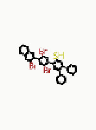 Sc1cc(-c2ccccc2)c(-c2ccccc2)cc1-c1cc(Br)c(-c2cc3ccccc3cc2Br)cc1Br